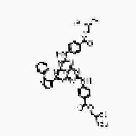 CCCCC(CC)COC(=O)c1ccc(NC2=NC3=NC(Nc4ccc(C(=O)OCC(CC)CCCC)cc4)=NC4=NC(c5ccnn5-c5ccccc5)=NC(=N2)N34)cc1